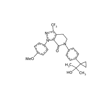 COc1ccc(-n2nc(C(F)(F)F)c3c2C(=O)N(c2ccc(C4(C(C)(C)O)CC4)cc2)CC3)cc1